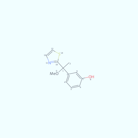 COC(C)(c1cccc(O)c1)c1nccs1